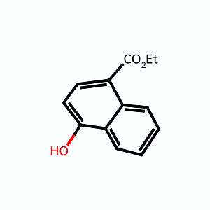 CCOC(=O)c1ccc(O)c2ccccc12